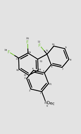 CCCCCCCCCCc1cccc(C2=CC=CCC2(F)c2cccc(F)c2F)c1